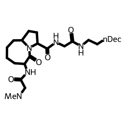 CCCCCCCCCCCCNC(=O)CNC(=O)C1CCC2CCCCC(NC(=O)CNC)C(=O)N21